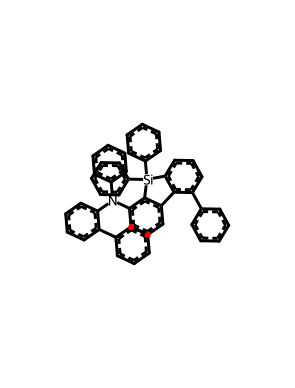 c1ccc(-c2ccccc2N(c2ccccc2)c2cccc3c2[Si](c2ccccc2)(c2ccccc2)c2cccc(-c4ccccc4)c2-3)cc1